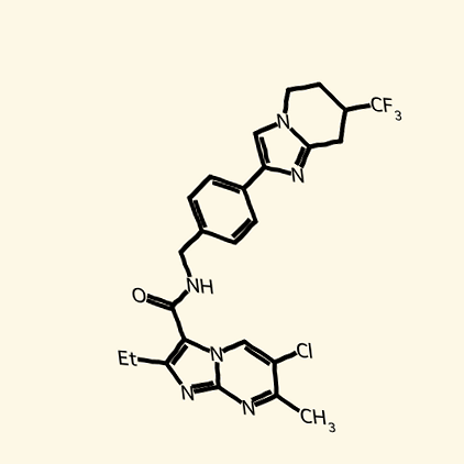 CCc1nc2nc(C)c(Cl)cn2c1C(=O)NCc1ccc(-c2cn3c(n2)CC(C(F)(F)F)CC3)cc1